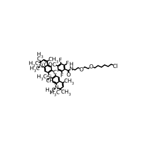 CC1=CC(C)(C)N(C)c2cc3c(cc21)[C+](c1c(F)c(C(=O)NCCOCCOCCCCCCCl)c(F)c(F)c1C(=O)[O-])c1cc2c(cc1[Si]3(C)C)N(C)C(C)(C)C=C2C